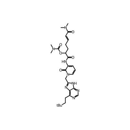 CN(C)C(=O)/C=C/CCC(OC(=O)N(C)C)C(=O)Nc1cccn(Cc2nc3c(CCC(C)(C)C)ncnc3[nH]2)c1=O